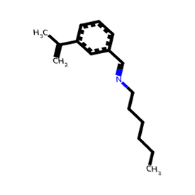 C=C(C)c1cccc(C=NCCCCCC)c1